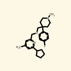 Cc1cc(COCC2(c3ccc(F)cc3)CCN(C)CC2)nc(C2CCCC2)c1